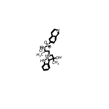 C[C@H](CNCC(C)(O)c1n[nH]c2ccccc12)NS(=O)(=O)c1ccc2cnccc2c1.Cl